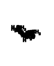 COc1cc(OC)c(Cl)c(NC(=O)N(C)c2cc(Nc3ccc(N4CCN(C(=O)OC(C)(C)C)CC4)cc3)ncn2)c1Cl